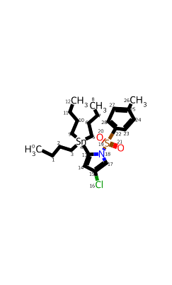 CCC[CH2][Sn]([CH2]CCC)([CH2]CCC)[c]1cc(Cl)cn1S(=O)(=O)c1ccc(C)cc1